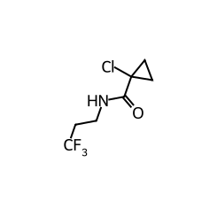 O=C(NCCC(F)(F)F)C1(Cl)CC1